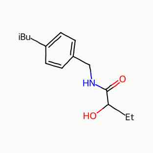 CCC(O)C(=O)NCc1ccc(C(C)CC)cc1